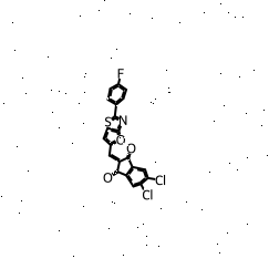 O=C1C(=Cc2cc3sc(-c4ccc(F)cc4)nc3o2)C(=O)c2cc(Cl)c(Cl)cc21